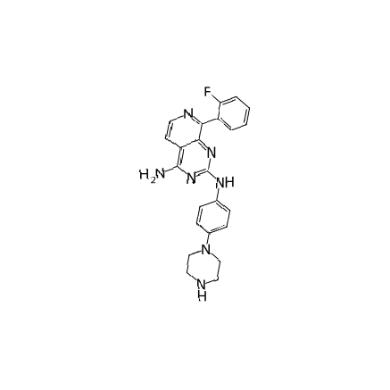 Nc1nc(Nc2ccc(N3CCNCC3)cc2)nc2c(-c3ccccc3F)nccc12